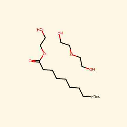 CCCCCCCCCCCCCCCCCC(=O)OCCO.OCCOCCO